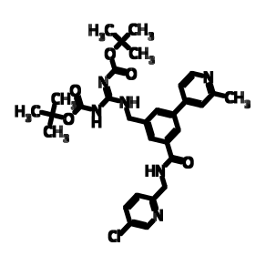 Cc1cc(-c2cc(CN/C(=N\C(=O)OC(C)(C)C)NC(=O)OC(C)(C)C)cc(C(=O)NCc3ccc(Cl)cn3)c2)ccn1